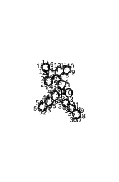 O=P(c1ccc(-c2c3ccccc3cc3c4ccccc4c4ccccc4c23)cc1)(c1ccc2cc3ccccc3cc2c1)c1ccc2cc3ccccc3cc2c1